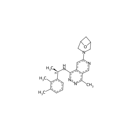 Cc1cccc([C@@H](C)Nc2nnc(C)c3cnc(N4CC5CC(C4)O5)cc23)c1C